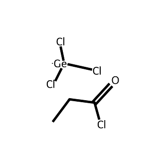 CCC(=O)Cl.[Cl][Ge]([Cl])[Cl]